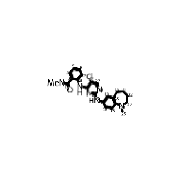 CNC(=O)c1ccccc1Nc1nc(Nc2ccc3c(c2)CCCCN3C)ncc1Cl